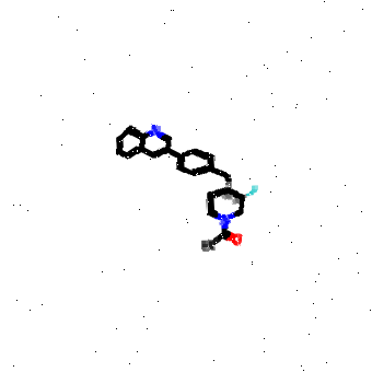 CCC(=O)N1CC[C@H](Cc2ccc(-c3cnc4ccccc4c3)cc2)[C@H](F)C1